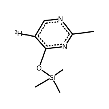 [2H]c1cnc(C)nc1O[Si](C)(C)C